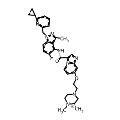 Cc1nn(Cc2cccc(C3CC3)n2)c2ccc(F)c(NC(=O)c3cnc4cc(OCCN5CCN(C)[C@@H](C)C5)ccn34)c12